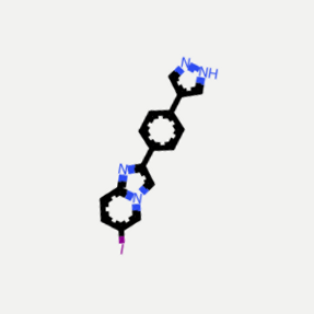 Ic1ccc2nc(-c3ccc(-c4cn[nH]c4)cc3)cn2c1